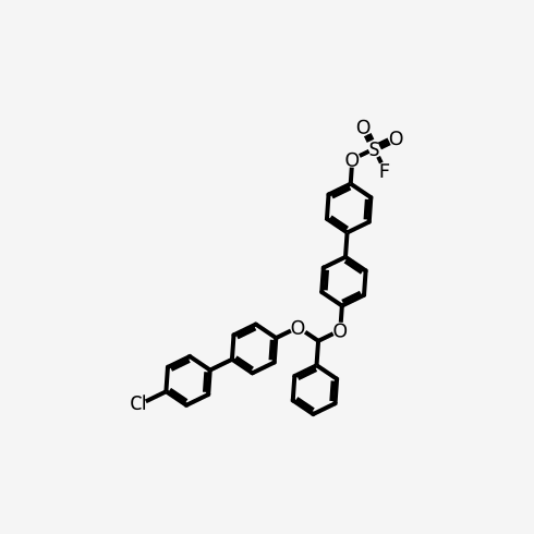 O=S(=O)(F)Oc1ccc(-c2ccc(OC(Oc3ccc(-c4ccc(Cl)cc4)cc3)c3ccccc3)cc2)cc1